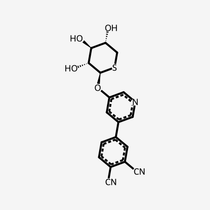 N#Cc1ccc(-c2cncc(O[C@@H]3SC[C@@H](O)[C@H](O)[C@H]3O)c2)cc1C#N